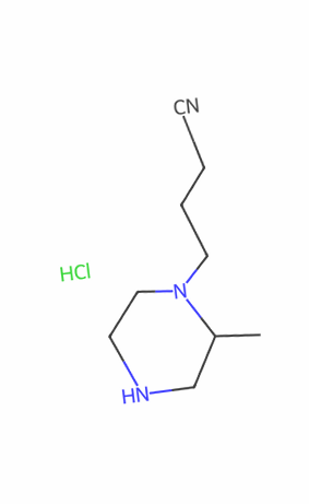 CC1CNCCN1CCCC#N.Cl